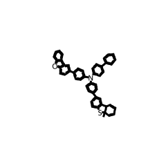 CC12C=CC=CC1c1cc(-c3ccc(N(c4ccc(-c5ccccc5)cc4)c4ccc(-c5ccc6oc7ccccc7c6c5)cc4)cc3)ccc1S2